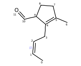 C/C=C\CC1=C(C)CCC1C=O